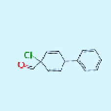 O=CC1(Cl)C=CC(c2ccccc2)C=C1